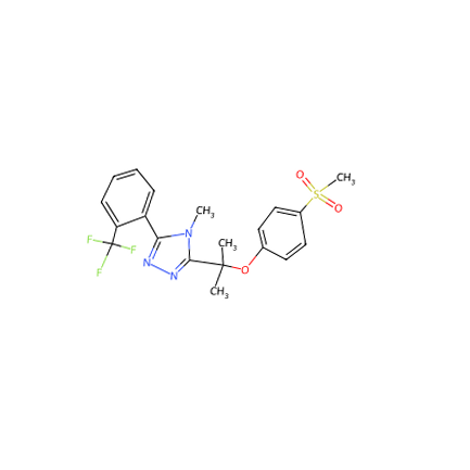 Cn1c(-c2ccccc2C(F)(F)F)nnc1C(C)(C)Oc1ccc(S(C)(=O)=O)cc1